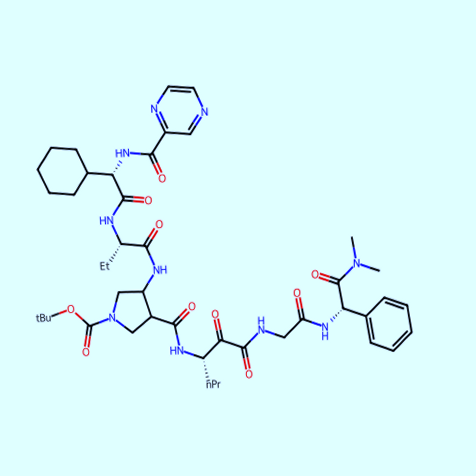 CCC[C@H](NC(=O)C1CN(C(=O)OC(C)(C)C)CC1NC(=O)[C@H](CC)NC(=O)[C@@H](NC(=O)c1cnccn1)C1CCCCC1)C(=O)C(=O)NCC(=O)N[C@H](C(=O)N(C)C)c1ccccc1